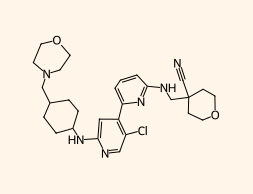 N#CC1(CNc2cccc(-c3cc(NC4CCC(CN5CCOCC5)CC4)ncc3Cl)n2)CCOCC1